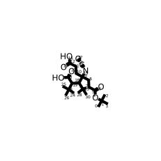 CC(C)(C)OC(=O)CCC(CCC(=O)O)(N=C=O)C(C(C(=O)O)C(C)(C)C)C(C)(C)C